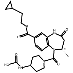 C[C@H]1CC(=O)Nc2cc(C(=O)NCCC3CC3)ccc2N1C(=O)N1CCC(NC(=O)O)CC1